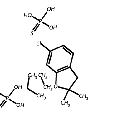 CC.CC1(C)Cc2ccc(Cl)cc2O1.CCC.OP(O)(O)=S.OP(O)(O)=S